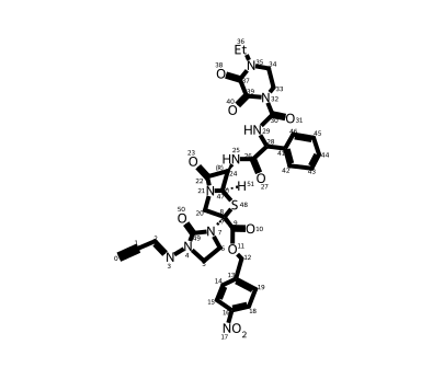 C#CC=NN1CCN([C@]2(C(=O)OCc3ccc([N+](=O)[O-])cc3)CN3C(=O)[C@@H](NC(=O)C(NC(=O)N4CCN(CC)C(=O)C4=O)c4ccccc4)[C@H]3S2)C1=O